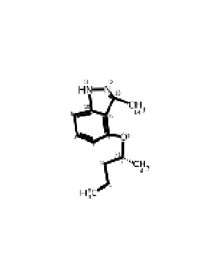 CCC[C@@H](C)Oc1cccc2[nH]nc(C)c12